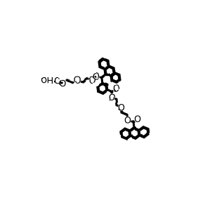 O=COCCOCCOOC(c1cccc(C(=O)OCCOCCOC(=O)c2c3ccccc3cc3ccccc23)c1)c1c2ccccc2cc2ccccc12